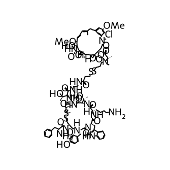 COc1cc2cc(c1Cl)N(C)C(=O)C[C@H](OC(=O)[C@H](C)N(C)C(=O)CCSSCCC(=O)NCCNC(=O)[C@@H](NC(=O)[C@@H]1CSSC[C@H](NC(=O)[C@H](N)Cc3ccccc3)C(=O)N[C@@H](Cc3ccc(O)cc3)C(=O)N[C@H](Cc3c[nH]c4ccccc34)C(=O)N[C@@H](CCCCN)C(=O)N[C@@H]([C@@H](C)O)C(=O)N1)[C@@H](C)O)[C@]1(C)O[C@H]1[C@H](C)[C@@H]1C[C@@](O)(NC(=O)O1)[C@H](OC)/C=C/C=C(\C)C2